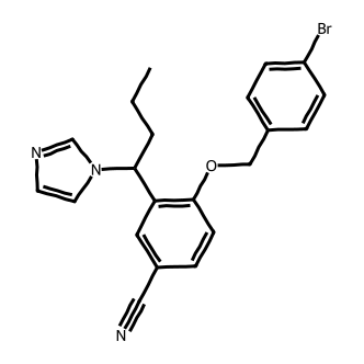 CCCC(c1cc(C#N)ccc1OCc1ccc(Br)cc1)n1ccnc1